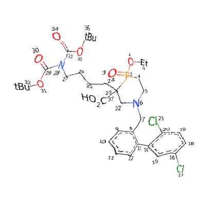 CCOP1(=O)CCN(Cc2ccccc2-c2cc(Cl)ccc2Cl)CC1(CCCCN(C(=O)OC(C)(C)C)C(=O)OC(C)(C)C)C(=O)O